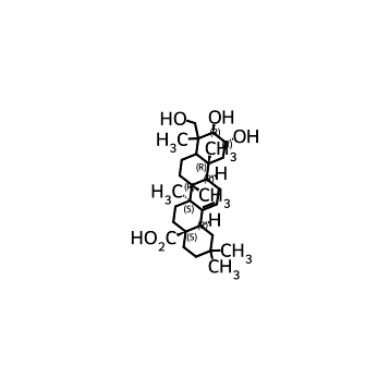 CC1(C)CC[C@]2(C(=O)O)CC[C@]3(C)C(=CC[C@@H]4[C@@]5(C)C[C@@H](O)[C@H](O)C(C)(CO)C5CC[C@]43C)[C@H]2C1